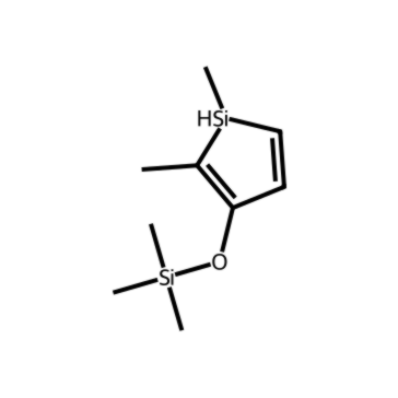 CC1=C(O[Si](C)(C)C)C=C[SiH]1C